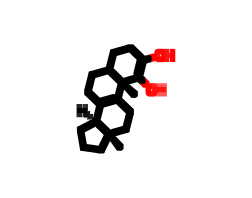 C[C@]12C(O)=C(O)CCC1CCC1=C2CC[C@]2(C)CCC[C@@H]12